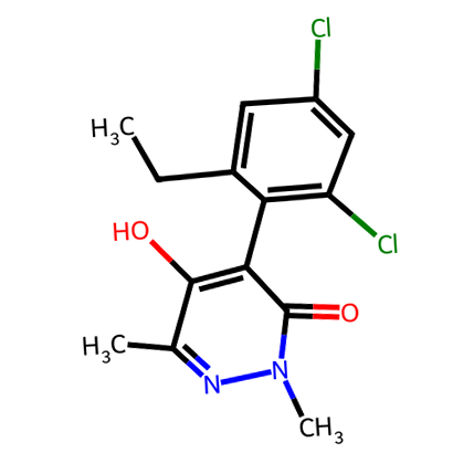 CCc1cc(Cl)cc(Cl)c1-c1c(O)c(C)nn(C)c1=O